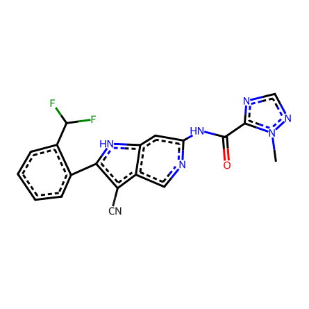 Cn1ncnc1C(=O)Nc1cc2[nH]c(-c3ccccc3C(F)F)c(C#N)c2cn1